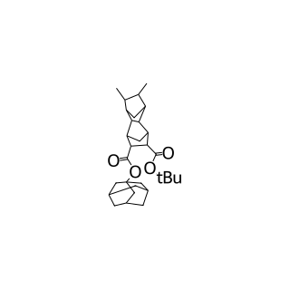 CC1C(C)C2CC1C1C3CC(C(C(=O)OC45CC6CC(CC(C6)C4)C5)C3C(=O)OC(C)(C)C)C21